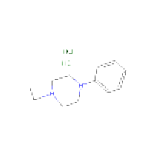 CCN1CCN(c2ccccc2)CC1.Cl.Cl